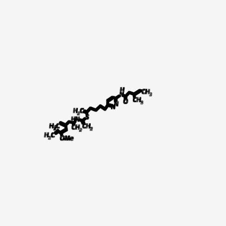 C=C(CC(=C/C)/C=C(/OC)C(=C)F)NC(=C)SC(=C)CCCCc1ccc(NC(=O)C/C(C)=C/C)nn1